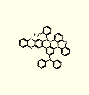 Cc1ccccc1N1B2c3cccc4c3N(c3ccccc3O4)c3cc(N(c4ccccc4)c4ccccc4)cc(c32)-c2cc3c(cc21)Sc1ccccc1S3